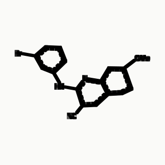 COc1ccc2cc(C#N)c(Nc3cccc(Br)c3)nc2c1